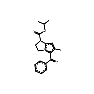 Cc1cc2n(c1C(=O)c1ccccc1)CCC2C(=O)OC(C)C